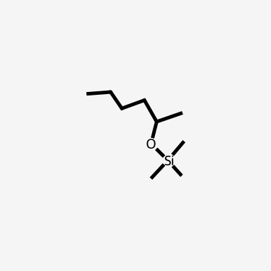 CCCCC(C)O[Si](C)(C)C